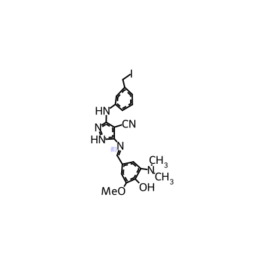 COc1cc(/C=N/c2[nH]nc(Nc3cccc(CI)c3)c2C#N)cc(N(C)C)c1O